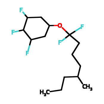 CCCC(C)CCCC(F)(F)OC1CC(F)C(F)C(F)C1